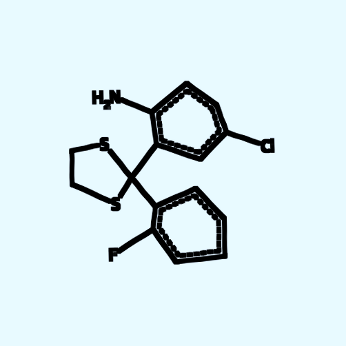 Nc1ccc(Cl)cc1C1(c2ccccc2F)SCCS1